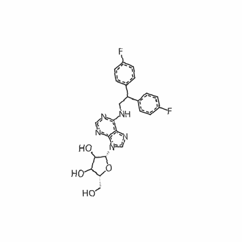 OC[C@H]1O[C@@H](n2cnc3c(NCC(c4ccc(F)cc4)c4ccc(F)cc4)ncnc32)C(O)C1O